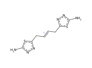 Nc1nnc(C/C=C/Cc2nnc(N)s2)s1